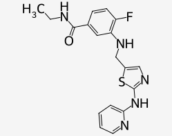 CCNC(=O)c1ccc(F)c(NCc2cnc(Nc3ccccn3)s2)c1